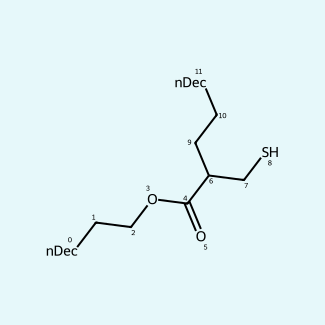 CCCCCCCCCCCCOC(=O)C(CS)CCCCCCCCCCCC